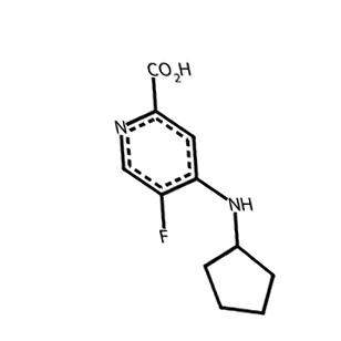 O=C(O)c1cc(NC2CCCC2)c(F)cn1